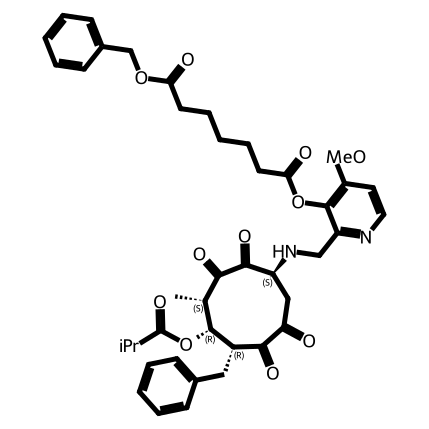 COc1ccnc(CN[C@H]2CC(=O)C(=O)[C@H](Cc3ccccc3)[C@H](OC(=O)C(C)C)[C@H](C)C(=O)C2=O)c1OC(=O)CCCCCC(=O)OCc1ccccc1